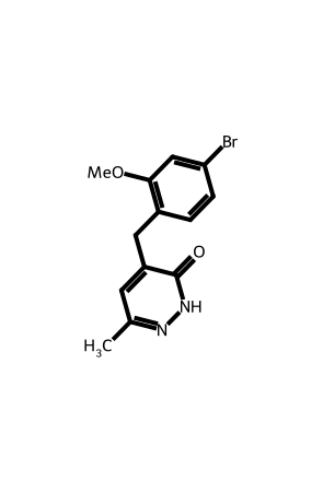 COc1cc(Br)ccc1Cc1cc(C)n[nH]c1=O